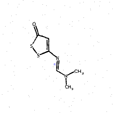 CN(C)/C=N/c1cc(=O)ss1